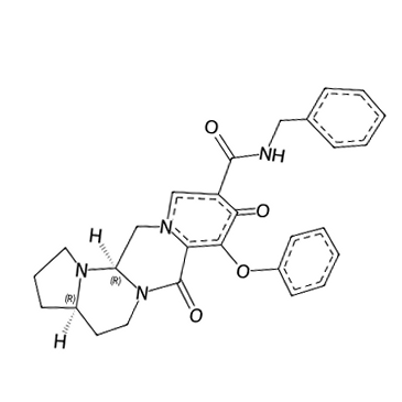 O=C(NCc1ccccc1)c1cn2c(c(Oc3ccccc3)c1=O)C(=O)N1CC[C@H]3CCCN3[C@H]1C2